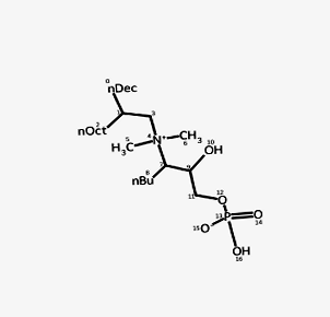 CCCCCCCCCCC(CCCCCCCC)C[N+](C)(C)C(CCCC)C(O)COP(=O)([O-])O